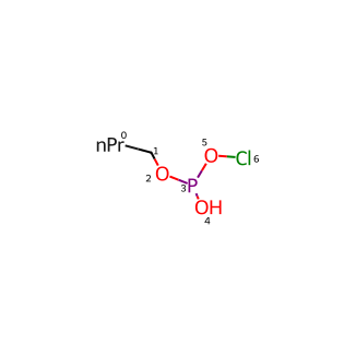 CCCCOP(O)OCl